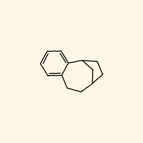 c1ccc2c(c1)CCC1CCC2C1